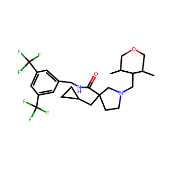 CC1COCC(C)C1CN1CCC(CC2CC2)(C(=O)NCc2cc(C(F)(F)F)cc(C(F)(F)F)c2)C1